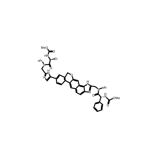 CCCN(Cc1ncc(-c2ccc3c(c2)COc2cc4c(ccc5nc(CN(CCC)C(=O)[C@H](NC(=O)OC)c6ccccc6)[nH]c54)cc2-3)[nH]1)C(=O)[C@H](CC)NC(=O)OC